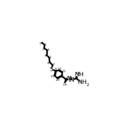 CCCCCCCCSc1ccc(C(C)=NNC(=N)N)cc1